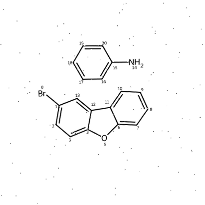 Brc1ccc2oc3ccccc3c2c1.Nc1ccccc1